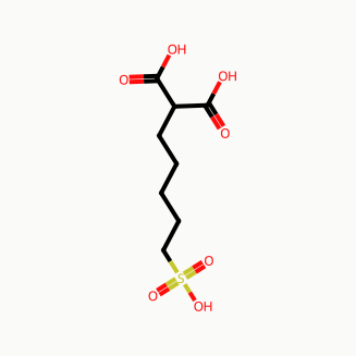 O=C(O)[C](CCCCCS(=O)(=O)O)C(=O)O